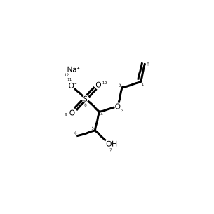 C=CCOC(C(C)O)S(=O)(=O)[O-].[Na+]